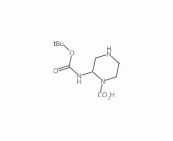 CC(C)(C)OC(=O)NC1CNCCN1C(=O)O